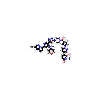 N#Cc1cnn2c(-c3cc(NC4CCOCC4)c(-c4nnc(N5CCN(C(=O)[C@H]6CCN(c7ccc([C@@H]8CCC(=O)NC8=O)cn7)C6)CC5)s4)cn3)ccc2c1